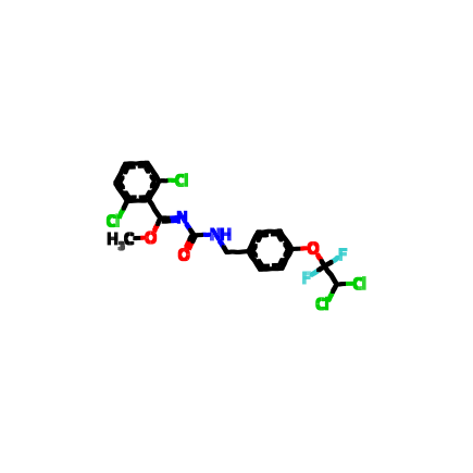 COC(=NC(=O)NCc1ccc(OC(F)(F)C(Cl)Cl)cc1)c1c(Cl)cccc1Cl